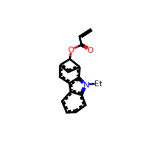 C=CC(=O)OC1c2cc1c1c(c2)c2ccccc2n1CC